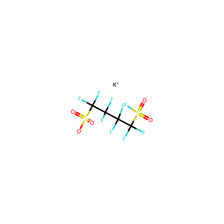 O=S(=O)([O-])C(F)(F)C(F)(F)C(F)(F)C(F)(F)S(=O)(=O)F.[K+]